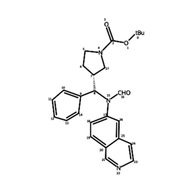 CC(C)(C)OC(=O)N1CC[C@@H](C(c2ccccc2)N(C=O)c2ccc3cnccc3c2)C1